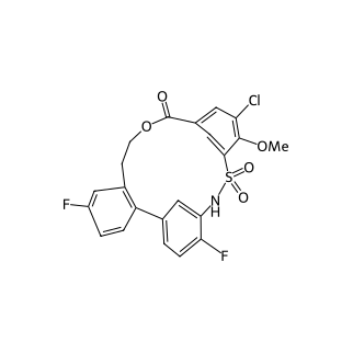 COc1c(Cl)cc2cc1S(=O)(=O)Nc1cc(ccc1F)-c1ccc(F)cc1CCOC2=O